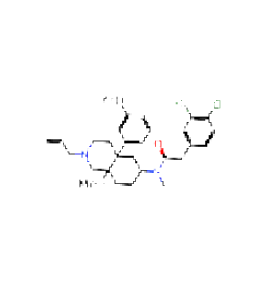 C=CCN1CCC2(c3cccc(OC(C)=O)c3)CC(N(C)C(=O)Cc3ccc(Cl)c(Cl)c3)CCC2(OC)C1